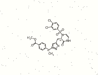 COC(=O)c1ccc([C@@H](C)n2cc(C[C@@H]3C(=O)NC=CN3S(=O)(=O)c3ccc(Cl)c(Cl)c3)nn2)cc1